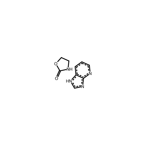 O=C1NCCO1.c1cnc2nc[nH]c2c1